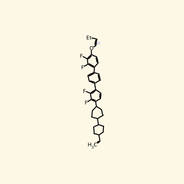 C=CC1CCC(C2CCC(c3ccc(-c4ccc(-c5ccc(O/C=C\CC)c(F)c5F)cc4)c(F)c3F)CC2)CC1